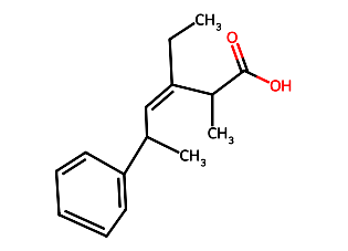 CCC(=CC(C)c1ccccc1)C(C)C(=O)O